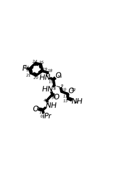 CC(C)C(=O)NCC(=O)N[C@@H](CCC(=O)C=N)C(=O)NCc1ccc(F)cc1